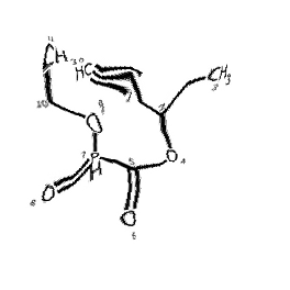 C#CC(C)OC(=O)[PH](=O)OCC